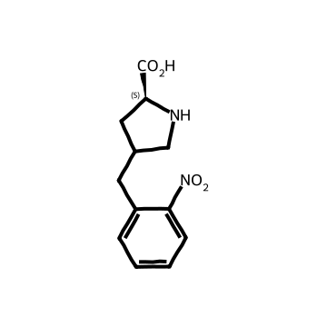 O=C(O)[C@@H]1CC(Cc2ccccc2[N+](=O)[O-])CN1